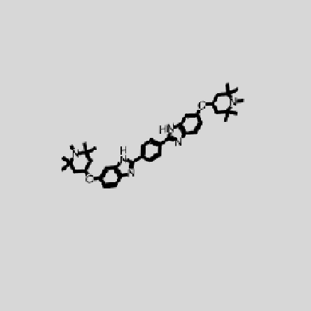 CN1C(C)(C)CC(Oc2ccc3nc(-c4ccc(-c5nc6ccc(OC7CC(C)(C)N(C)C(C)(C)C7)cc6[nH]5)cc4)[nH]c3c2)CC1(C)C